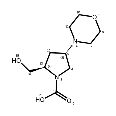 O=C(O)N1C[C@@H](N2CCOCC2)C[C@@H]1CO